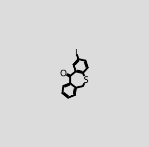 O=C1c2ccccc2CSc2ccc(I)cc21